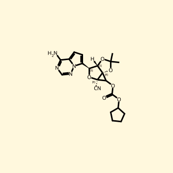 CC1(C)O[C@H]2[C@H](c3ccc4c(N)ncnn34)O[C@]3(C#N)C(OC(=O)OC4CCCC4)[C@]23O1